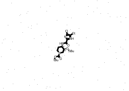 CCCCO[C@H]1CN(C(=O)OC(C)(C)C)CC[C@H]1NC(=O)c1nc(Cl)c(CC)[nH]1